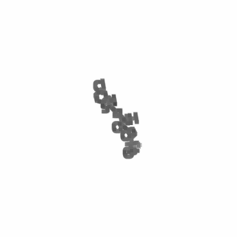 C[S+]([O-])C(C)(C)c1ccc(C(=O)NC23CC(c4nc5cc(Cl)ccc5s4)(C2)C3)o1